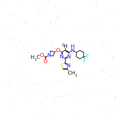 [2H]c1c(NC2CCC(F)(F)CC2)nc(-c2nc(C)cs2)nc1OC1CN(C(=O)OC)C1